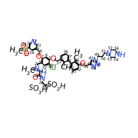 Cc1c(COc2cc(OCc3cncc(S(C)(=O)=O)c3)c(CN(C)CC(=O)NCC(S(=O)(=O)O)S(=O)(=O)O)cc2Cl)cccc1-c1cccc(OCc2cn(CCCN3CCNCC3)nn2)c1C